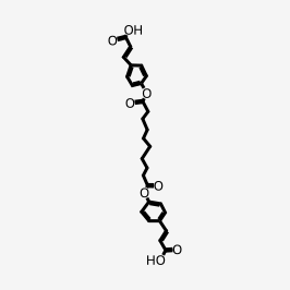 O=C(O)C=Cc1ccc(OC(=O)CCCCCCCCC(=O)Oc2ccc(C=CC(=O)O)cc2)cc1